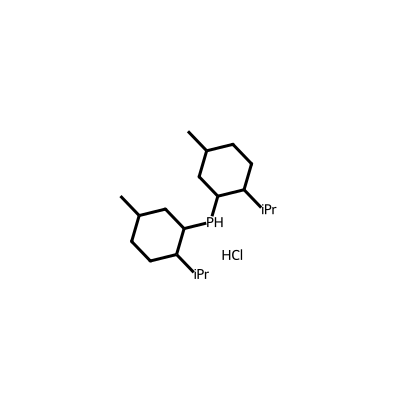 CC1CCC(C(C)C)C(PC2CC(C)CCC2C(C)C)C1.Cl